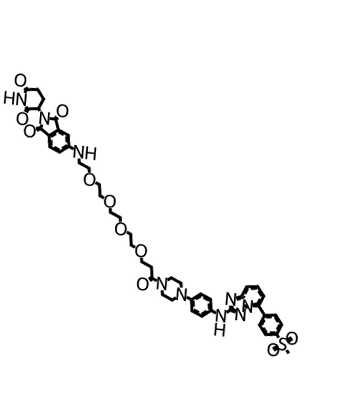 CS(=O)(=O)c1ccc(-c2cccc3nc(Nc4ccc(N5CCN(C(=O)CCOCCOCCOCCOCCNc6ccc7c(c6)C(=O)N(C6CCC(=O)NC6=O)C7=O)CC5)cc4)nn23)cc1